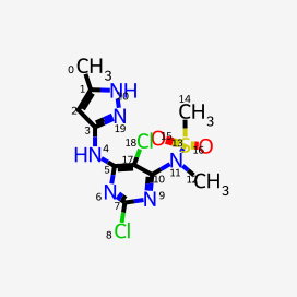 Cc1cc(Nc2nc(Cl)nc(N(C)S(C)(=O)=O)c2Cl)n[nH]1